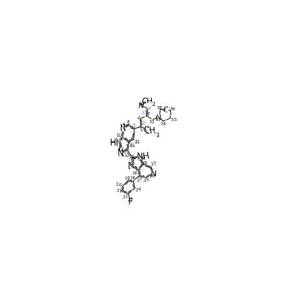 C=N/C=C(\C=C(/C)c1cnc2[nH]nc(-c3nc4c(-c5cccc(F)c5)cncc4[nH]3)c2c1)CN1CCCCC1